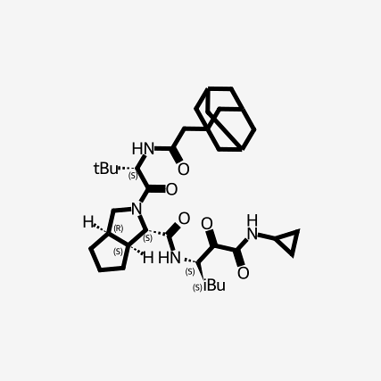 CC[C@H](C)[C@H](NC(=O)[C@@H]1[C@H]2CCC[C@H]2CN1C(=O)[C@@H](NC(=O)CC12CC3CC(CC(C3)C1)C2)C(C)(C)C)C(=O)C(=O)NC1CC1